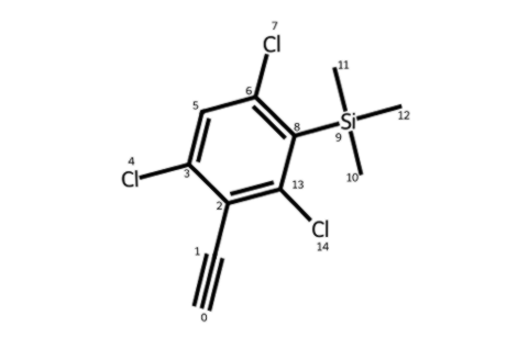 C#Cc1c(Cl)cc(Cl)c([Si](C)(C)C)c1Cl